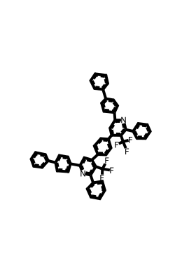 FC(F)(F)c1c(-c2ccc(-c3cc(-c4ccc(-c5ccccc5)cc4)nc(-c4ccccc4)c3C(F)(F)F)cc2)cc(-c2ccc(-c3ccccc3)cc2)nc1-c1ccccc1